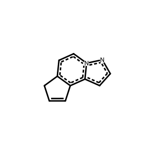 C1=Cc2c(ccn3nccc23)C1